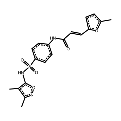 Cc1ccc(/C=C/C(=O)Nc2ccc(S(=O)(=O)Nc3onc(C)c3C)cc2)o1